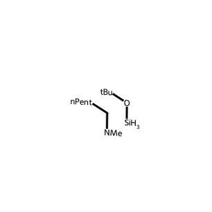 CC(C)(C)O[SiH3].CCCCCCNC